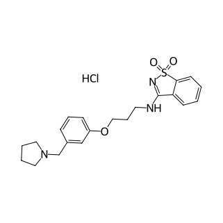 Cl.O=S1(=O)N=C(NCCCOc2cccc(CN3CCCC3)c2)c2ccccc21